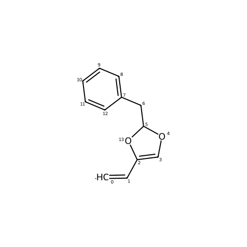 [CH]=CC1=COC(Cc2ccccc2)O1